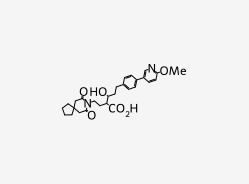 COc1ccc(-c2ccc(CCC(O)C(CCN3C(=O)CC4(CCCC4)CC3=O)C(=O)O)cc2)cn1